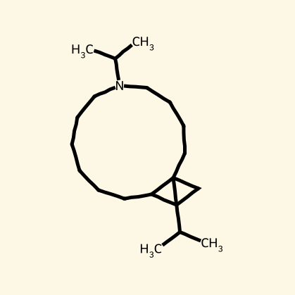 CC(C)N1CCCCCCC2C3(CCCC1)CC23C(C)C